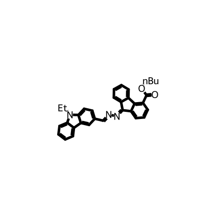 CCCCOC(=O)c1cccc2c1-c1ccccc1C2=NN=Cc1ccc2c(c1)c1ccccc1n2CC